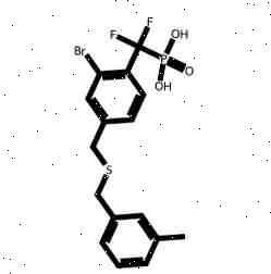 Cc1cccc(CSCc2ccc(C(F)(F)P(=O)(O)O)c(Br)c2)c1